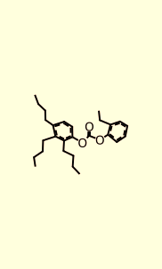 CCCCc1ccc(OC(=O)Oc2ccccc2CC)c(CCCC)c1CCCC